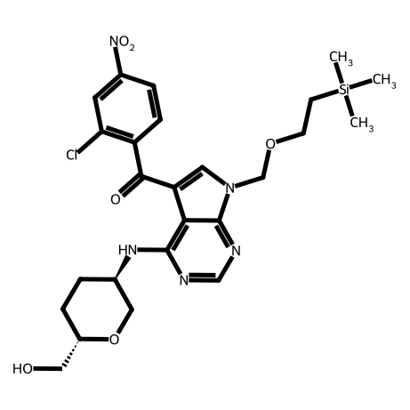 C[Si](C)(C)CCOCn1cc(C(=O)c2ccc([N+](=O)[O-])cc2Cl)c2c(N[C@@H]3CC[C@@H](CO)OC3)ncnc21